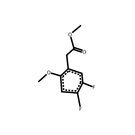 COC(=O)Cc1cc(F)c(F)cc1OC